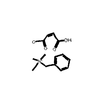 C[N+](C)(C)Cc1ccccc1.O=C([O-])/C=C\C(=O)O